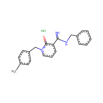 Cc1ccc(Cn2cccc(C(=N)NCc3ccccc3)c2=O)cc1.Cl